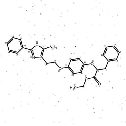 CCOC(=O)C(Cc1ccccc1)Oc1ccc(OCCc2nc(-c3ccccc3)oc2C)cc1